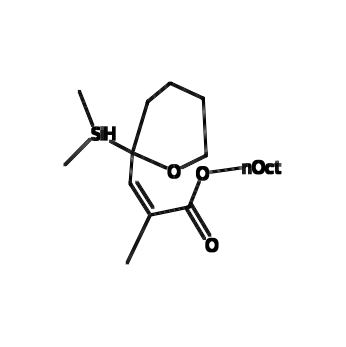 CCCCCCCCOC(=O)C(C)=CC1([SiH](C)C)CCCCO1